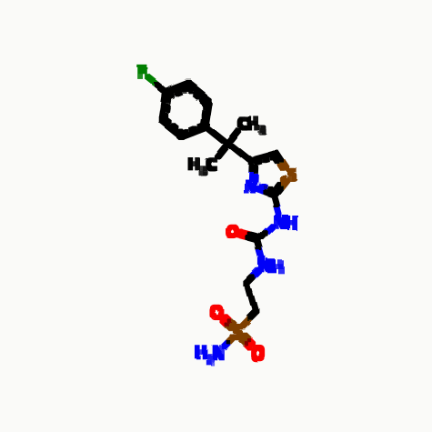 CC(C)(c1ccc(F)cc1)c1csc(NC(=O)NCCS(N)(=O)=O)n1